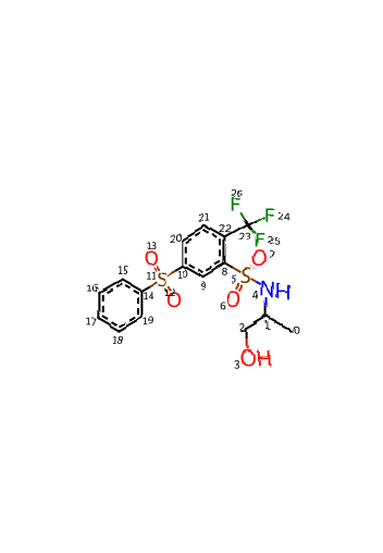 CC(CO)NS(=O)(=O)c1cc(S(=O)(=O)c2ccccc2)ccc1C(F)(F)F